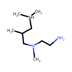 CC(CN(C)CCN)C[SiH](C)C